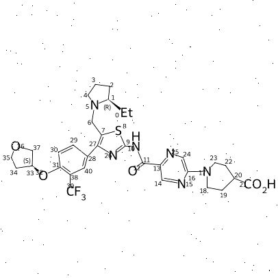 CC[C@@H]1CCCN1Cc1sc(NC(=O)c2cnc(N3CCC(C(=O)O)CC3)cn2)nc1-c1ccc(O[C@H]2CCOC2)c(C(F)(F)F)c1